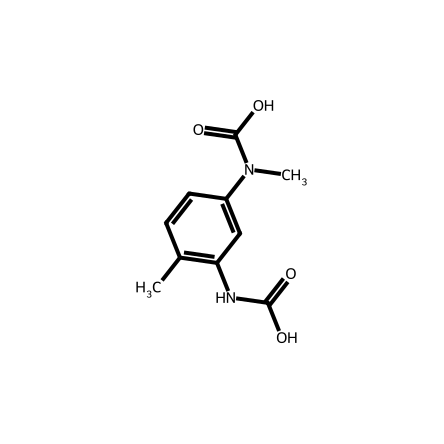 Cc1ccc(N(C)C(=O)O)cc1NC(=O)O